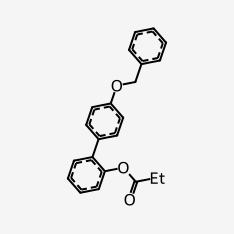 CCC(=O)Oc1ccccc1-c1ccc(OCc2ccccc2)cc1